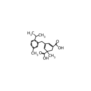 Cc1ccc(C(C)C)c(CC2=CC(C)(C(=O)O)CC(C(=O)O)=C2)c1